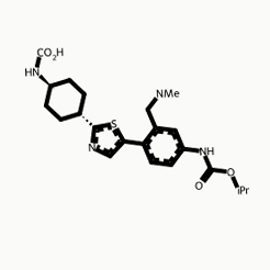 CNCc1cc(NC(=O)OC(C)C)ccc1-c1cnc([C@H]2CC[C@H](NC(=O)O)CC2)s1